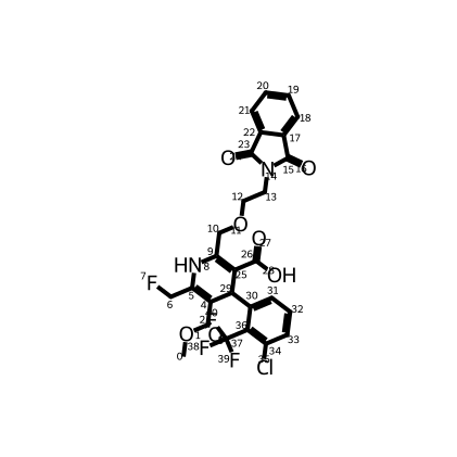 COC(=O)C1=C(CF)NC(COCCN2C(=O)c3ccccc3C2=O)=C(C(=O)O)C1c1cccc(Cl)c1C(F)(F)F